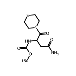 CC(C)(C)OC(=O)NC(CC(N)=O)C(=O)N1CCSCC1